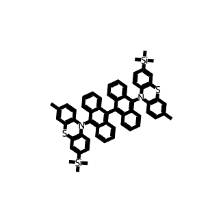 Cc1ccc2c(c1)Sc1cc([Si](C)(C)C)ccc1N2c1c2ccccc2c(-c2c3ccccc3c(N3c4ccc(C)cc4Sc4cc([Si](C)(C)C)ccc43)c3ccccc23)c2ccccc12